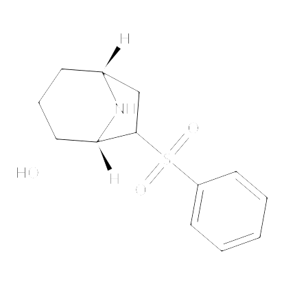 O=S(=O)(c1ccccc1)C1C[C@H]2CC[C@@H](O)[C@@H]1N2